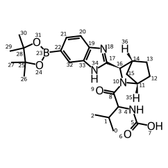 CC(C)C(NC(=O)O)C(=O)N1[C@H]2CC[C@H](C2)[C@@H]1c1nc2ccc(B3OC(C)(C)C(C)(C)O3)cc2[nH]1